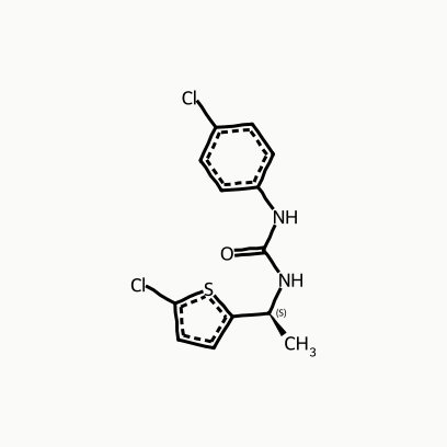 C[C@H](NC(=O)Nc1ccc(Cl)cc1)c1ccc(Cl)s1